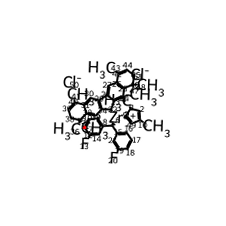 CC1=CC(C)[C]([Zr+2](=[C](c2cccc(F)c2)c2cccc(F)c2)[CH]2c3cc4c(cc3-c3cc5c(cc32)C(C)(C)CC=C5C)C(C)=CCC4(C)C)=C1.[Cl-].[Cl-]